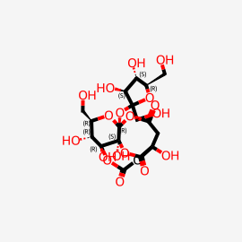 O=C1CC2(O)CC(=O)O[C@]3(O)[C@H](O)[C@@H](CO)O[C@](OC4(CO)O[C@H](CO)[C@@H](O)[C@@H]4O)(O1)[C@@]3(O)OC2=O